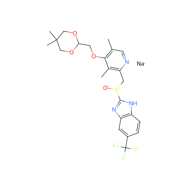 Cc1cnc(C[S+]([O-])c2nc3cc(C(F)(F)F)ccc3[nH]2)c(C)c1OCC1OCC(C)(C)CO1.[Na]